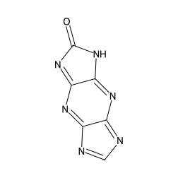 O=C1N=c2nc3c(nc2N1)=NC=N3